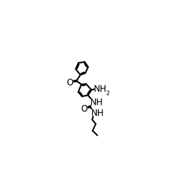 CCCCNC(=O)Nc1ccc(C(=O)c2ccccc2)cc1N